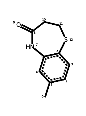 Cc1ccc2c(c1)NC(=O)CCS2